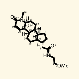 COCCNC(=O)C[C@H]1CC[C@H]2[C@@H]3CC[C@H]4N(C)C(=O)C=C[C@]4(C)[C@H]3CC[C@]12C